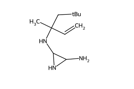 C=CC(C)(CC(C)(C)C)NC1NC1N